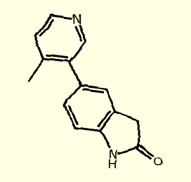 Cc1ccncc1-c1ccc2c(c1)CC(=O)N2